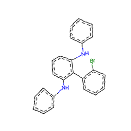 Brc1ccccc1-c1c(Nc2ccccc2)cccc1Nc1ccccc1